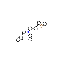 c1cc(-c2cccc(N(c3cccc(-c4ccc5ccccc5c4)c3)c3ccc4ccccc4c3)c2)cc(-c2cccc3c2sc2ccccc23)c1